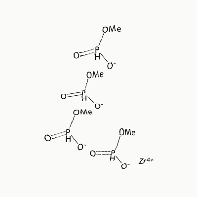 CO[PH](=O)[O-].CO[PH](=O)[O-].CO[PH](=O)[O-].CO[PH](=O)[O-].[Zr+4]